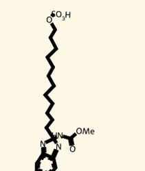 COC(=O)NC1(CCCCCCCCCCCCOS(=O)(=O)O)N=c2ccccc2=N1